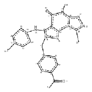 CC(=O)c1ccc(Cn2nc3c(c2Nc2ccc(F)cc2)c(=O)n(C)c2nnc(C)n32)cc1